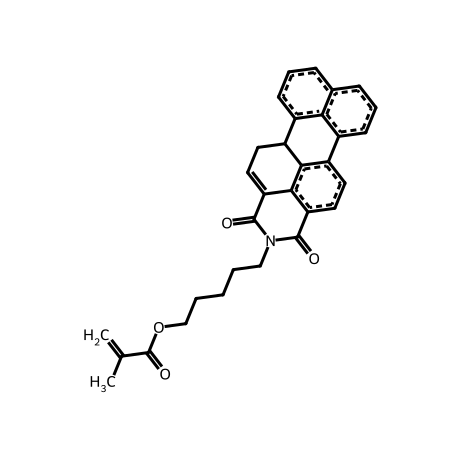 C=C(C)C(=O)OCCCCCN1C(=O)C2=CCC3c4c(ccc(c42)C1=O)-c1cccc2cccc3c12